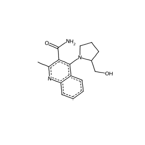 Cc1nc2c[c]ccc2c(N2CCCC2CO)c1C(N)=O